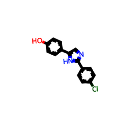 Oc1ccc(-c2cnc(-c3ccc(Cl)cc3)[nH]2)cc1